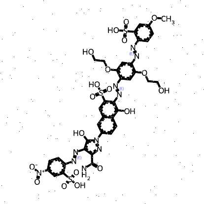 COc1ccc(/N=N/c2cc(OCCO)c(/N=N/c3c(S(=O)(=O)O)cc4cc(-n5nc(C(N)=O)c(/N=N/c6ccc([N+](=O)[O-])cc6S(=O)(=O)O)c5O)ccc4c3O)cc2OCCO)c(S(=O)(=O)O)c1